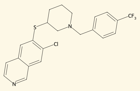 FC(F)(F)c1ccc(CN2CCCC(Sc3cc4ccncc4cc3Cl)C2)cc1